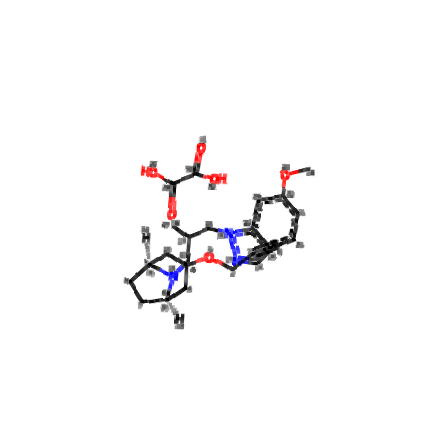 C#CCOC1C[C@H]2CC[C@@H](C1)N2CC(C)Cn1ncc2ccc(OC)cc21.O=C(O)C(=O)O